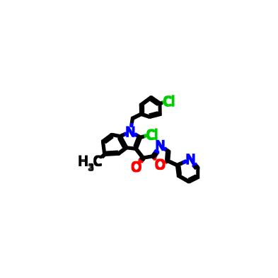 Cc1ccc2c(c1)c(C(=O)c1ncc(-c3ccccn3)o1)c(Cl)n2Cc1ccc(Cl)cc1